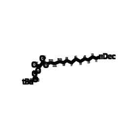 CCCCCCCCCCCCCCCCCCCCCCOC(=O)C(=O)OOOC(C)(C)C